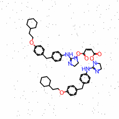 O=C(/C=C\C(=O)ON1CCN=C1Nc1ccc(Cc2ccc(OCCC3CCCCC3)cc2)cc1)ON1CCN=C1Nc1ccc(Cc2ccc(OCCC3CCCCC3)cc2)cc1